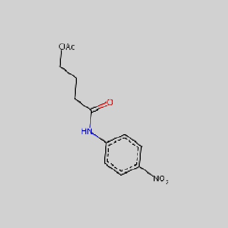 CC(=O)OCCCC(=O)Nc1ccc([N+](=O)[O-])cc1